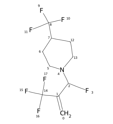 C=C(C(F)N1CCC(C(F)(F)F)CC1)C(F)(F)F